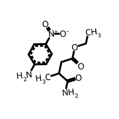 CCOC(=O)CC(C)C(N)=O.Nc1ccc([N+](=O)[O-])cc1